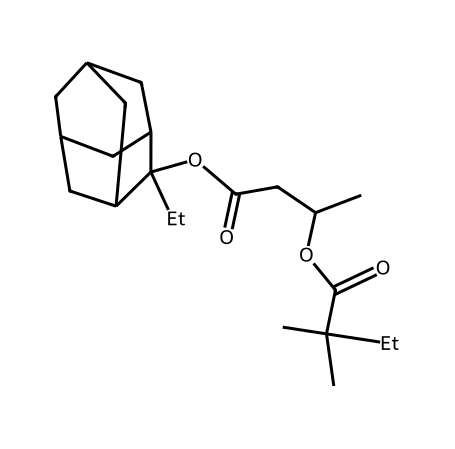 CCC(C)(C)C(=O)OC(C)CC(=O)OC1(CC)C2CC3CC(C2)CC1C3